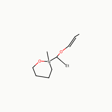 CC=COC(CC)[Si]1(C)CCCCO1